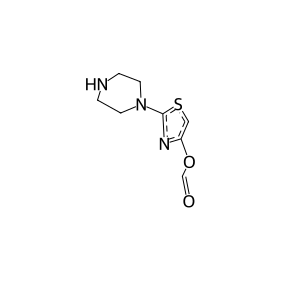 O=COc1csc(N2CCNCC2)n1